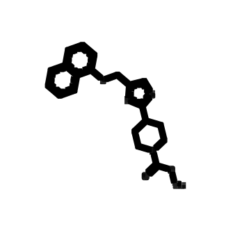 CC(C)(C)OC(=O)N1CCC(c2nc(CSc3cccc4ccccc34)cs2)CC1